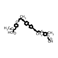 CCOC(Cc1ccc(OCC=C(C)C#Cc2ccc(-c3ccc(C#CC(C)=CCSc4ccc(OCC(=O)O)c(C)c4)cc3)cc2)cc1)C(=O)O